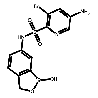 Nc1cnc(S(=O)(=O)Nc2ccc3c(c2)B(O)OC3)c(Br)c1